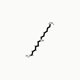 CCCCCC[CH2][Ge][CH2]CCCCCC